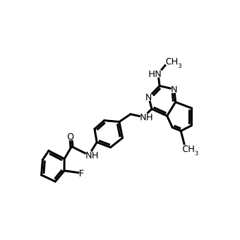 CNc1nc(NCc2ccc(NC(=O)c3ccccc3F)cc2)c2cc(C)ccc2n1